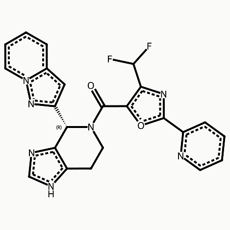 O=C(c1oc(-c2ccccn2)nc1C(F)F)N1CCc2[nH]cnc2[C@@H]1c1cc2ccccn2n1